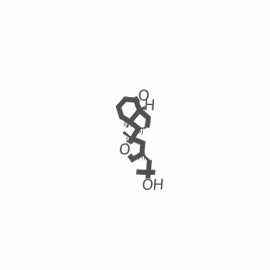 CC(C)(O)C[C@H]1CO[C@](C)([C@H]2CC[C@H]3C(=O)CCC[C@@]32C)C1